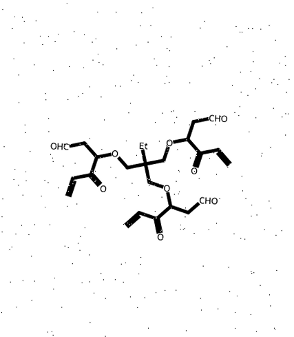 C=CC(=O)C(CC=O)OCC(CC)(COC(CC=O)C(=O)C=C)COC(CC=O)C(=O)C=C